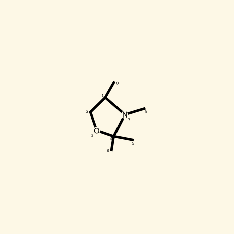 CC1COC(C)(C)N1C